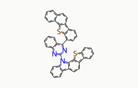 c1ccc2c(c1)ccc1c3cccc(-c4nc(-n5c6ccccc6c6ccc7c8ccccc8sc7c65)nc5ccccc45)c3sc21